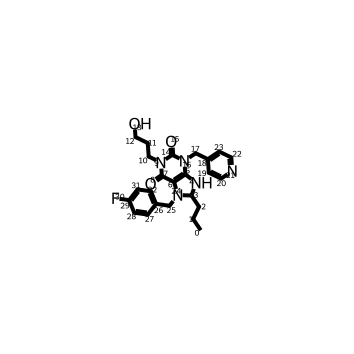 CCCC1Nc2c(c(=O)n(CCCO)c(=O)n2Cc2ccncc2)N1Cc1ccc(F)cc1